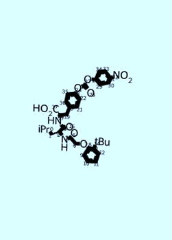 CC(C)C[C@H](NC(=O)COc1ccccc1C(C)(C)C)C(=O)N[C@@H](Cc1ccc(OC(=O)Oc2ccc([N+](=O)[O-])cc2)cc1)C(=O)O